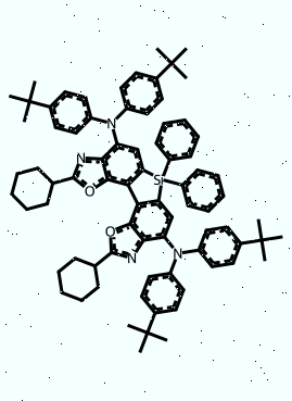 CC(C)(C)c1ccc(N(c2ccc(C(C)(C)C)cc2)c2cc3c(c4oc(C5CCCCC5)nc24)-c2c(cc(N(c4ccc(C(C)(C)C)cc4)c4ccc(C(C)(C)C)cc4)c4nc(C5CCCCC5)oc24)[Si]3(c2ccccc2)c2ccccc2)cc1